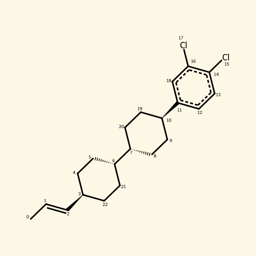 CC=C[C@H]1CC[C@H]([C@H]2CC[C@H](c3ccc(Cl)c(Cl)c3)CC2)CC1